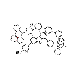 Cc1cccc(-c2cccc(-c3ccc(C4C=Cc5oc6cc(N(c7ccccc7)c7ccccc7-c7ccccc7)cc7c6c5C4c4ccc(-c5ccc(-c6ccccc6-c6ccccc6)cc5)c5oc6cc(-c8ccc(C(C)(C)C)nc8)cc-7c6c45)cc3)c2)c1